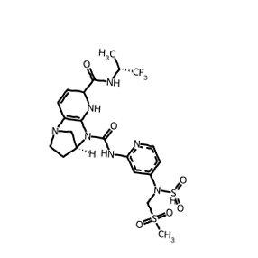 C[C@@H](NC(=O)C1C=CC2=C(N1)N(C(=O)Nc1cc(N(CS(C)(=O)=O)[SH](=O)=O)ccn1)[C@H]1CCN2C1)C(F)(F)F